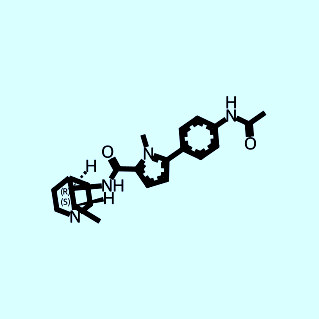 CC(=O)Nc1ccc(-c2ccc(C(=O)N[C@@H]3C4CCN(CC4)[C@H]3C)n2C)cc1